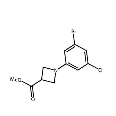 COC(=O)C1CN(c2cc(Cl)cc(Br)c2)C1